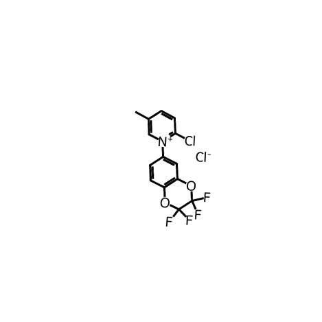 Cc1ccc(Cl)[n+](-c2ccc3c(c2)OC(F)(F)C(F)(F)O3)c1.[Cl-]